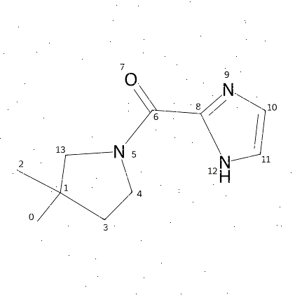 CC1(C)CCN(C(=O)c2ncc[nH]2)C1